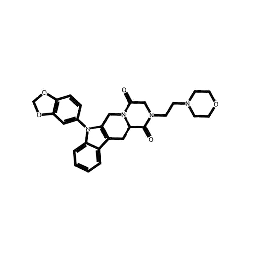 O=C1C2Cc3c(n(-c4ccc5c(c4)OCO5)c4ccccc34)CN2C(=O)CN1CCN1CCOCC1